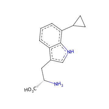 N[C@@H](Cc1c[nH]c2c(C3CC3)cccc12)C(=O)O